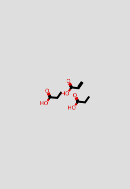 C=CC(=O)O.CCC(=O)O.CCC(=O)O